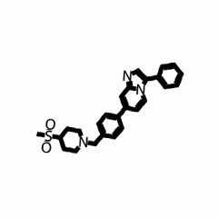 CS(=O)(=O)C1CCN(Cc2ccc(-c3ccn4c(-c5ccccc5)cnc4c3)cc2)CC1